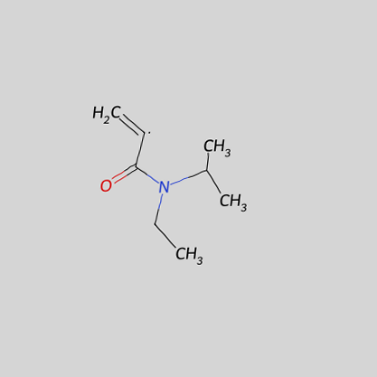 C=[C]C(=O)N(CC)C(C)C